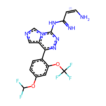 N=C(/C=C\N)Nc1nnc(-c2ccc(OC(F)F)cc2OC(F)(F)F)c2cncn12